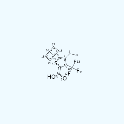 CCc1csc(C(=O)O)c1C(F)(F)F.c1cc2ccc1-2